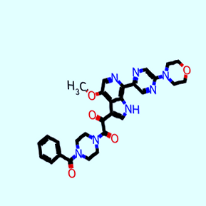 COc1cnc(-c2cnc(N3CCOCC3)cn2)c2[nH]cc(C(=O)C(=O)N3CCN(C(=O)c4ccccc4)CC3)c12